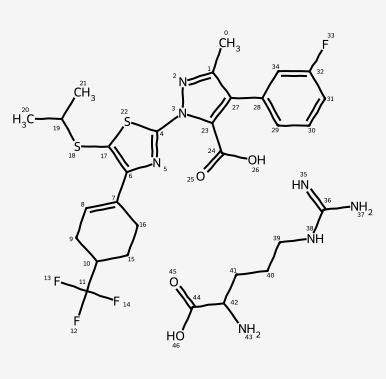 Cc1nn(-c2nc(C3=CCC(C(F)(F)F)CC3)c(SC(C)C)s2)c(C(=O)O)c1-c1cccc(F)c1.N=C(N)NCCCC(N)C(=O)O